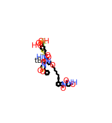 CC(C)(C)[C@H](NC(=O)c1cc2cc(C(F)(F)P(=O)(O)O)ccc2s1)C(=O)N1C[C@@H](OCCCCCCC#Cc2cccc3c2CN(C2CCC(=O)NC2=O)C3=O)C[C@H]1C(=O)N1CCS(=O)(=O)C(c2ccccc2)C1